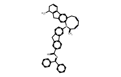 C=C1/C=C\C=C/Cc2cc3c(cc2N1c1ccc2c(c1)-c1ccc(C(=N)N=C(c4ccccc4)c4ccccc4)cc1C2)CC1=C3C=CCC1C